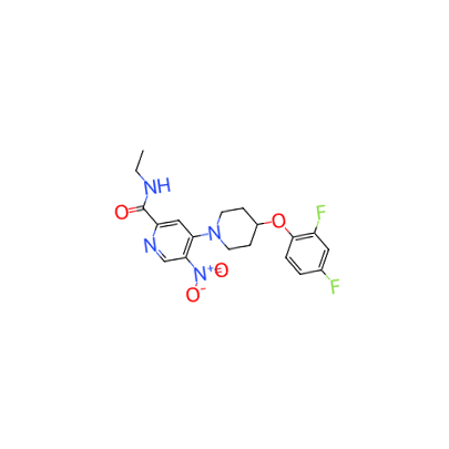 CCNC(=O)c1cc(N2CCC(Oc3ccc(F)cc3F)CC2)c([N+](=O)[O-])cn1